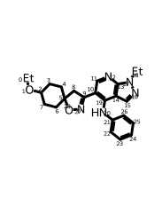 CCOC1CCC2(CC1)CC(c1cnc3c(cnn3CC)c1Nc1ccccc1)=NO2